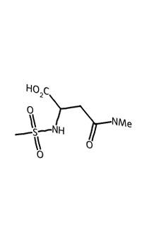 CNC(=O)CC(NS(C)(=O)=O)C(=O)O